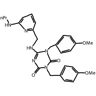 CCCNc1cccc(CNc2nc(=O)n(Cc3ccc(OC)cc3)c(=O)n2Cc2ccc(OC)cc2)n1